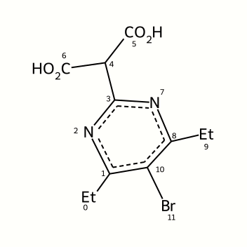 CCc1nc(C(C(=O)O)C(=O)O)nc(CC)c1Br